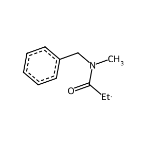 C[CH]C(=O)N(C)Cc1ccccc1